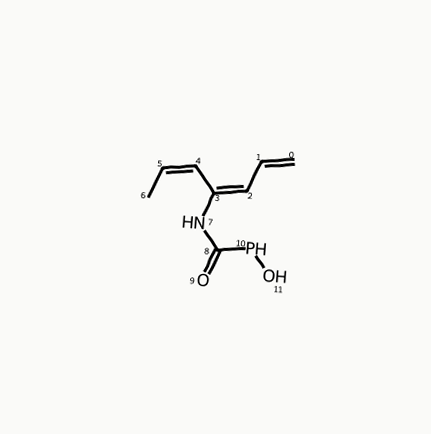 C=C/C=C(\C=C/C)NC(=O)PO